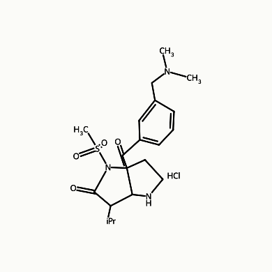 CC(C)C1C(=O)N(S(C)(=O)=O)C2(C(=O)c3cccc(CN(C)C)c3)CCNC12.Cl